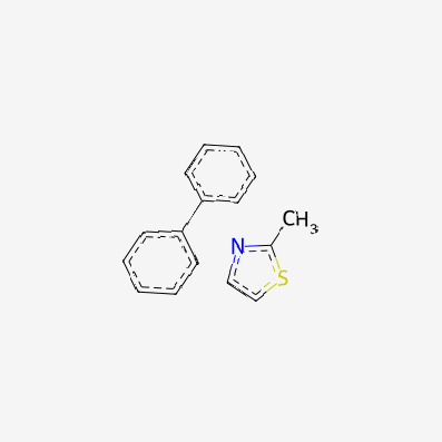 Cc1nccs1.c1ccc(-c2ccccc2)cc1